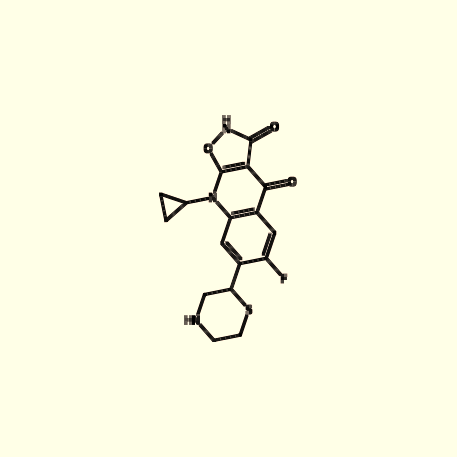 O=c1[nH]oc2c1c(=O)c1cc(F)c(C3CNCCS3)cc1n2C1CC1